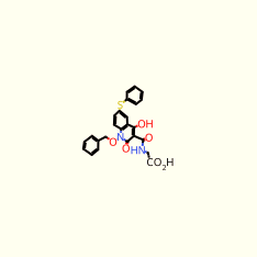 O=C(O)CNC(=O)c1c(O)c2cc(Sc3ccccc3)ccc2n(OCc2ccccc2)c1=O